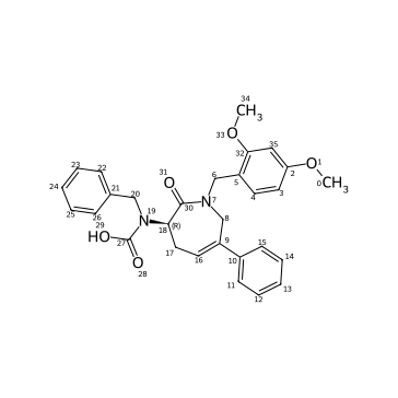 COc1ccc(CN2CC(c3ccccc3)=CC[C@@H](N(Cc3ccccc3)C(=O)O)C2=O)c(OC)c1